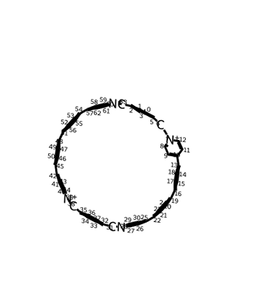 c1cc2ccc1C[n+]1ccc(cc1)-c1ccc(cc1)-c1ccc(cc1)-c1cc[n+](cc1)Cc1ccc(cc1)C[n+]1ccc(cc1)-c1ccc(cc1)-c1ccc(cc1)-c1cc[n+](cc1)C2